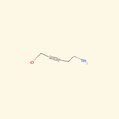 NCCC#CC[O]